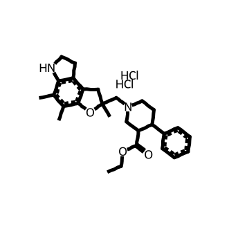 CCOC(=O)C1CN(CC2(C)Cc3c4c(c(C)c(C)c3O2)NCC4)CCC1c1ccccc1.Cl.Cl